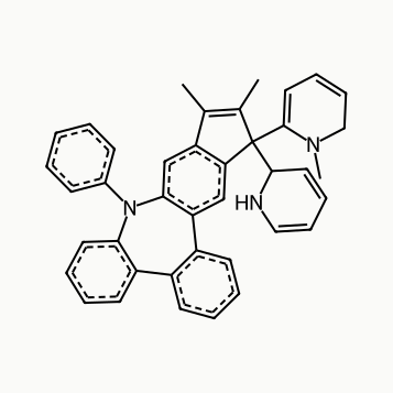 CC1=C(C)C(C2=CC=CCN2C)(C2C=CC=CN2)c2cc3c(cc21)N(c1ccccc1)c1ccccc1-c1ccccc1-3